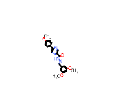 COc1ccc(-c2cnc(C(=O)NN=Cc3cc(OC)cc(OC)c3)cn2)cc1